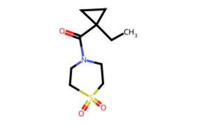 CCC1(C(=O)N2CCS(=O)(=O)CC2)CC1